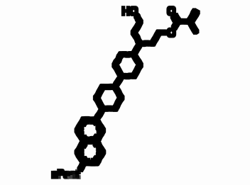 C=C(C)C(=O)OCCC(CCO)C1CCC(C2CCC(c3ccc4cc(CCCCC)ccc4c3)CC2)CC1